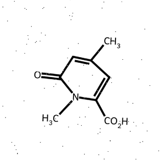 Cc1cc(C(=O)O)n(C)c(=O)c1